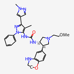 COCCN1C[C@@H](NC(=O)Nc2c(C)c(-c3cnn(C)c3)nn2-c2ccccc2)[C@H](c2ccc3c(c2)NCCO3)C1